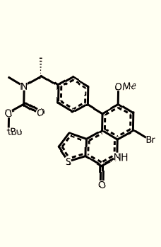 COc1cc(Br)c2[nH]c(=O)c3sccc3c2c1-c1ccc([C@@H](C)N(C)C(=O)OC(C)(C)C)cc1